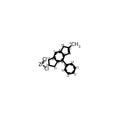 CC1=Cc2c(cc3c(c2-c2ccccc2)CCC3)[CH]1.[Cl][Zr][Cl]